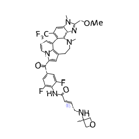 COCc1nc2c3c(c(C(F)(F)F)cc2n1C)-c1cccn2c(C(=O)c4cc(F)c(NC(=O)/C=C/CNC5(C)COC5)c(F)c4)cc(c12)CCN3C